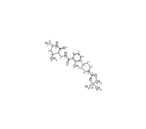 Cc1c(C(=O)NCC2C(=O)NC(C)CC2C)cccc1C1CCN(C(=O)OC(C)(C)C)CC1